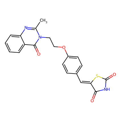 Cc1nc2ccccc2c(=O)n1CCOc1ccc(/C=C2\SC(=O)NC2=O)cc1